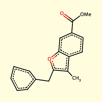 COC(=O)c1ccc2c(C)c(Cc3ccccc3)oc2c1